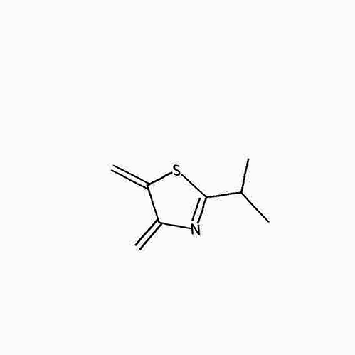 C=c1nc(C(C)C)sc1=C